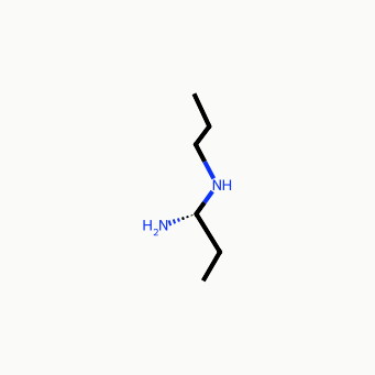 CCCN[C@@H](N)CC